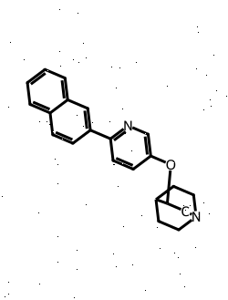 c1ccc2cc(-c3ccc(OC4CN5CCC4CC5)cn3)ccc2c1